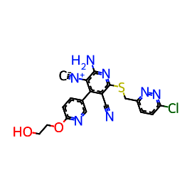 [C-]#[N+]c1c(N)nc(SCc2ccc(Cl)nn2)c(C#N)c1-c1ccc(OCCO)nc1